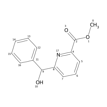 COC(=O)c1cccc(C(O)c2ccccc2)n1